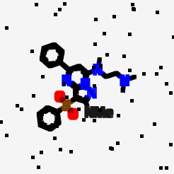 CNc1nn2c(N(C)CCN(C)C)cc(-c3ccccc3)nc2c1S(=O)(=O)c1ccccc1